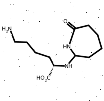 NCCCC[C@H](NC1CCCCC(=O)N1)C(=O)O